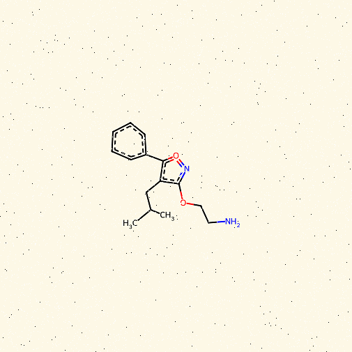 CC(C)Cc1c(OCCN)noc1-c1ccccc1